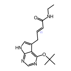 CCNC(=O)/C=C/Cc1c[nH]c2ncnc(OC(C)(C)C)c12